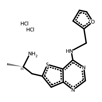 C[C@H](N)Cc1cc2ncnc(NCc3ccco3)c2s1.Cl.Cl